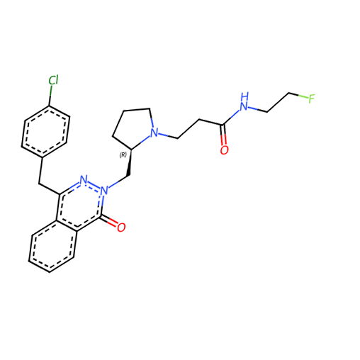 O=C(CCN1CCC[C@@H]1Cn1nc(Cc2ccc(Cl)cc2)c2ccccc2c1=O)NCCF